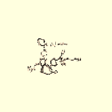 CNC.Cc1nc(N2CCN(c3ncccn3)CC2)nc2c1ccc(=O)n2-c1ccc(C(=O)NCCCO)cc1